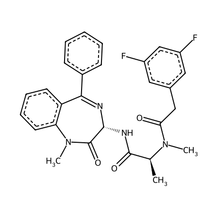 C[C@@H](C(=O)N[C@H]1N=C(c2ccccc2)c2ccccc2N(C)C1=O)N(C)C(=O)Cc1cc(F)cc(F)c1